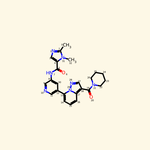 Cc1ncc(C(=O)Nc2cncc(-c3cccc4c(C(=O)N5CCCCC5)cnn34)c2)n1C